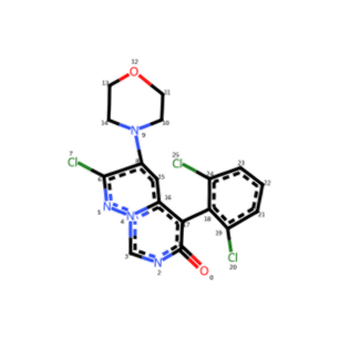 O=c1ncn2nc(Cl)c(N3CCOCC3)cc2c1-c1c(Cl)cccc1Cl